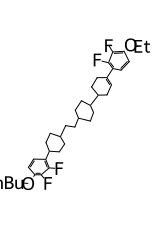 CCCCOc1ccc(C2CCC(CCC3CCC(C4CC=C(c5ccc(OCC)c(F)c5F)CC4)CC3)CC2)c(F)c1F